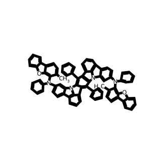 Cc1ccc2c(oc3ccccc32)c1N(c1ccccc1)c1ccc2c3cccc4c5c(-c6ccccc6)c6c(c(-c7ccccc7)c5n(c2c1)c34)c1cccc2c3ccc(N(c4ccccc4)c4c(C)ccc5c4oc4ccccc45)cc3n6c21